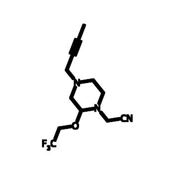 CC#CCN1CCN(CC#N)C(OCC(F)(F)F)C1